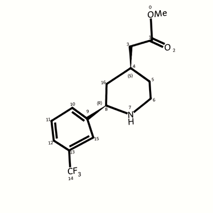 COC(=O)C[C@H]1CCN[C@@H](c2cccc(C(F)(F)F)c2)C1